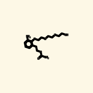 NC(=O)OCCc1cccc(N)c1OCCOCCOCCO